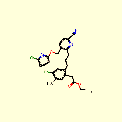 CCOC(=O)Cc1cc(C)c(Br)cc1CCCc1nc(C#N)ccc1COc1cccc(Cl)n1